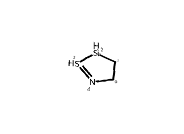 C1C[SiH][SH]=N1